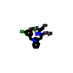 CC(C)C[C@H](NC(Cc1cn(Cc2cc(Cl)cc(Cl)c2)c2ccccc12)C(=O)O)C(=O)O